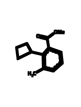 COC(=O)c1cccc(C)c1C1CCC1